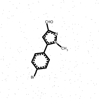 Cn1nc(C=O)cc1-c1ccc(Br)cc1